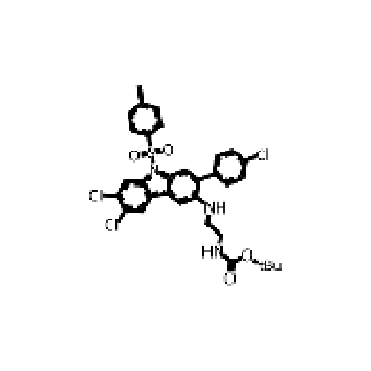 Cc1ccc(S(=O)(=O)n2c3cc(Cl)c(Cl)cc3c3cc(NCCNC(=O)OC(C)(C)C)c(-c4ccc(Cl)cc4)cc32)cc1